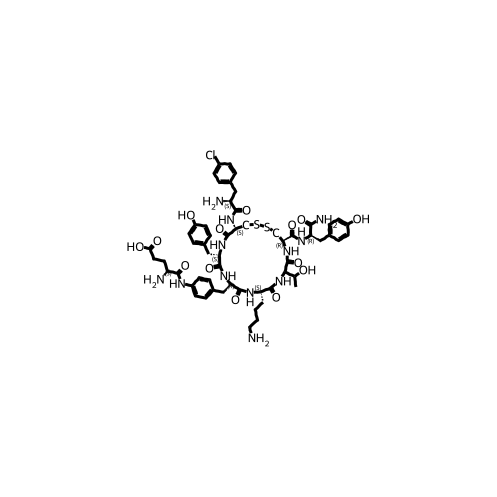 CC(O)C1NC(=O)[C@H](CCCCN)NC(=O)[C@@H](Cc2ccc(NC(=O)[C@@H](N)CCC(=O)O)cc2)NC(=O)[C@H](Cc2ccc(O)cc2)NC(=O)[C@H](NC(=O)[C@@H](N)Cc2ccc(Cl)cc2)CSSC[C@@H](C(=O)N[C@H](Cc2ccc(O)cc2)C(N)=O)NC1=O